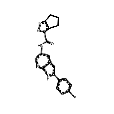 O=C(Nc1cnc2[nH]c(-c3ccc(F)cc3)cc2c1)c1n[nH]c2c1CCC2